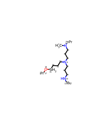 CCCN(C)CCCN(CCCNC(C)CC)CCC[SiH2]OC(C)C